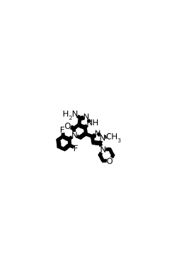 Cn1nc(-c2cn(-c3c(F)cccc3F)c(=O)c3c(N)n[nH]c23)cc1N1CCOCC1